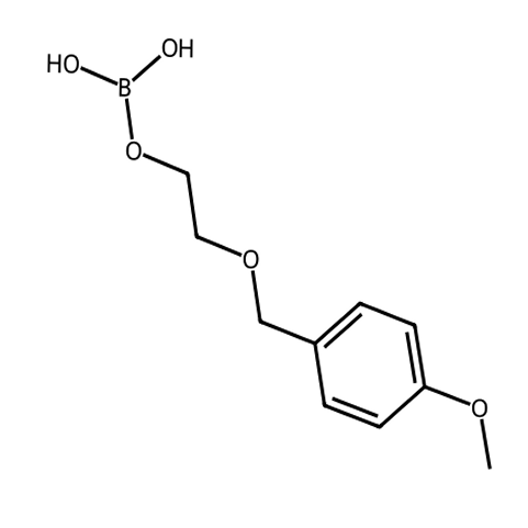 COc1ccc(COCCOB(O)O)cc1